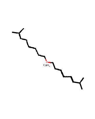 CC(C)CCCCCCOCCCCCCC(C)C.[CaH2]